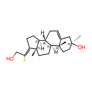 C[C@]1(O)CC[C@@]2(C)C(=CC[C@@H]3[C@@H]2CC[C@]2(C)C(=C(F)CO)CC[C@@H]32)C1